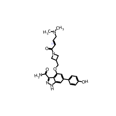 CN(C)C/C=C/C(=O)N1CC(COc2cc(-c3ccc(O)cc3)cc3[nH]nc(C(N)=O)c23)C1